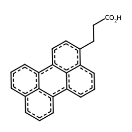 O=C(O)CCc1ccc2c3cccc4cccc(c5cccc1c52)c43